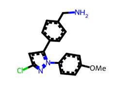 COc1ccc(-n2nc(Cl)cc2-c2ccc(CN)cc2)cc1